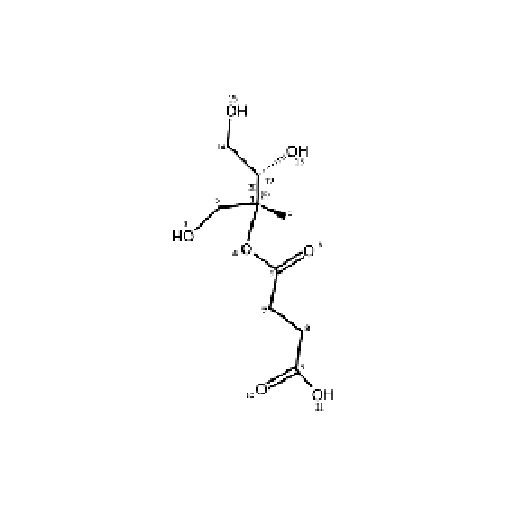 C[C@](CO)(OC(=O)CCC(=O)O)[C@@H](O)CO